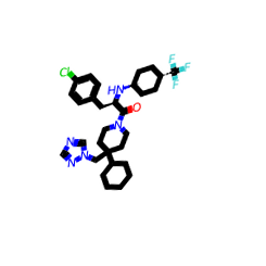 O=C([C@@H](Cc1ccc(Cl)cc1)N[C@H]1CC[C@H](C(F)(F)F)CC1)N1CCC(Cn2cncn2)(C2CCCCC2)CC1